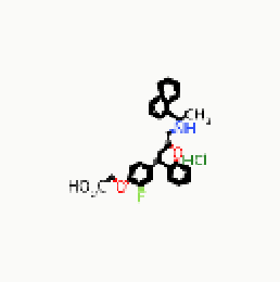 CC(NC[C@H]1C[C@H](c2ccc(OCC(=O)O)c(F)c2)c2ccccc2O1)c1cccc2ccccc12.Cl